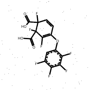 O=C(O)C1(F)C=CC(Oc2cc(F)c(F)c(F)c2F)=C(F)C1(F)C(=O)O